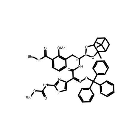 COc1c(C[C@H](NC(=O)/C(=N\OC(c2ccccc2)(c2ccccc2)c2ccccc2)c2csc(NC(=O)OC(C)(C)C)n2)B2OC3CC4CC(C4(C)C)C3(C)O2)cccc1C(=O)OC(C)(C)C